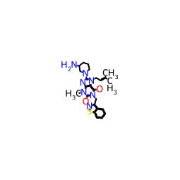 CC(C)=CCn1c(N2CCCC(N)C2)nc2c1c(=O)n(Cc1nsc3ccccc13)c(=O)n2C